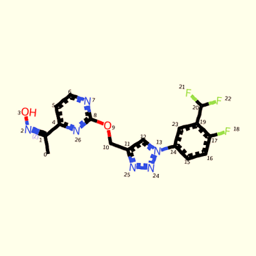 C/C(=N/O)c1ccnc(OCc2cn(-c3ccc(F)c(C(F)F)c3)nn2)n1